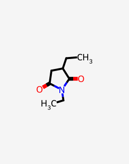 CCC1CC(=O)N(CC)C1=O